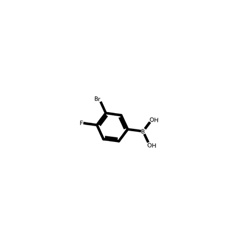 OB(O)c1ccc(F)c(Br)c1